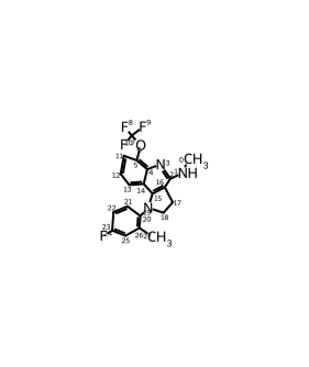 CNc1nc2c(OC(F)(F)F)cccc2c2c1CCN2c1ccc(F)cc1C